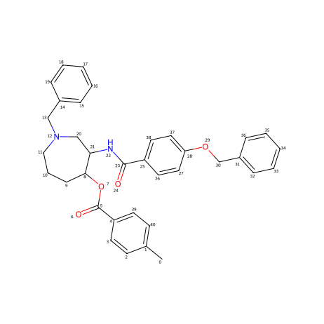 Cc1ccc(C(=O)OC2CCCN(Cc3ccccc3)CC2NC(=O)c2ccc(OCc3ccccc3)cc2)cc1